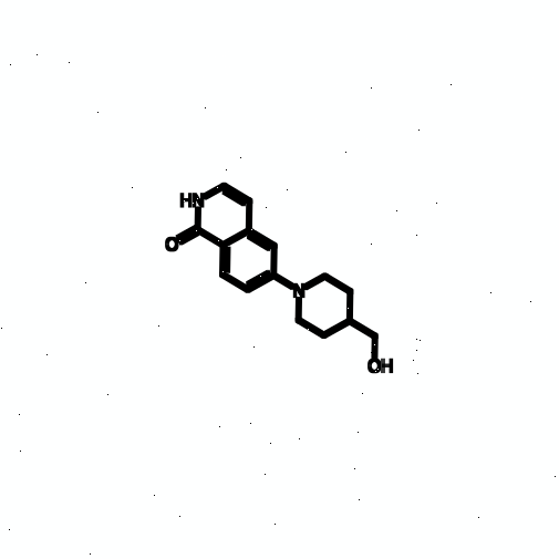 O=c1[nH]ccc2cc(N3CCC(CO)CC3)ccc12